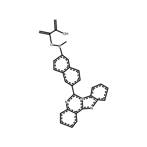 C=C(O)C(=C)OB(C)c1ccc2cc(-c3nc4ccccc4c4nc5ccccc5n34)ccc2c1